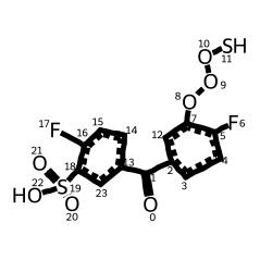 O=C(c1ccc(F)c(OOOS)c1)c1ccc(F)c(S(=O)(=O)O)c1